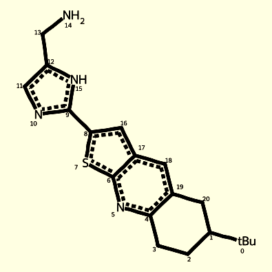 CC(C)(C)C1CCc2nc3sc(-c4ncc(CN)[nH]4)cc3cc2C1